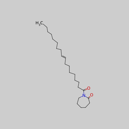 CCCCCCCCC=CCCCCCCCC(=O)N1CCCCCC1=O